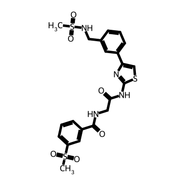 CS(=O)(=O)NCc1cccc(-c2csc(NC(=O)CNC(=O)c3cccc(S(C)(=O)=O)c3)n2)c1